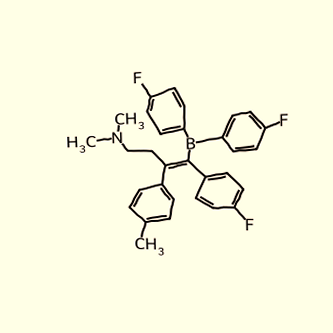 Cc1ccc(/C(CCN(C)C)=C(/B(c2ccc(F)cc2)c2ccc(F)cc2)c2ccc(F)cc2)cc1